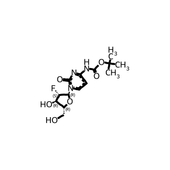 CC(C)(C)OC(=O)Nc1ccn([C@@H]2O[C@H](CO)[C@@H](O)[C@@H]2F)c(=O)n1